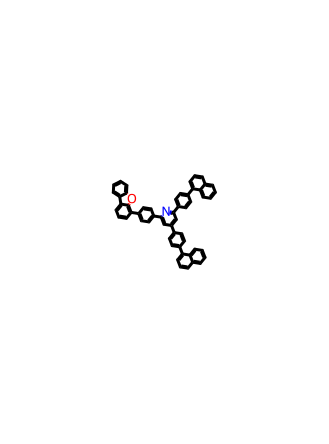 c1ccc2c(-c3ccc(-c4cc(-c5ccc(-c6cccc7ccccc67)cc5)nc(-c5ccc(-c6cccc7c6oc6ccccc67)cc5)c4)cc3)cccc2c1